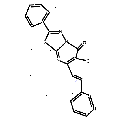 O=c1c(Cl)c(/C=C/c2cccnc2)nc2sc(-c3ccccc3)nn12